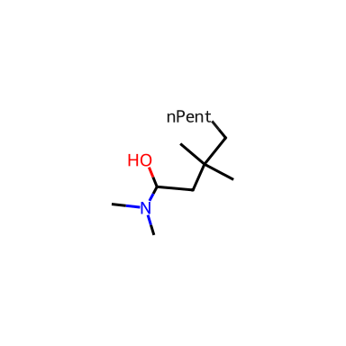 CCCCCCC(C)(C)CC(O)N(C)C